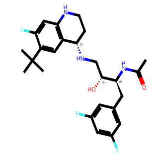 CC(=O)N[C@@H](Cc1cc(F)cc(F)c1)[C@H](O)CN[C@H]1CCNc2cc(F)c(C(C)(C)C)cc21